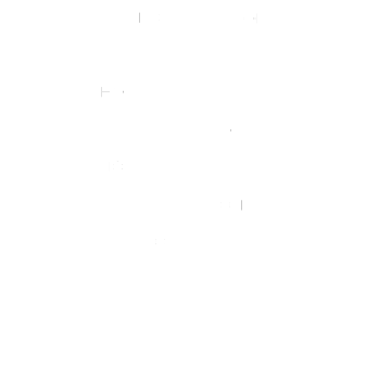 CC(CO)C(O)C(O)C(O)C(O)Oc1ccccc1